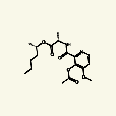 CCCC[C@H](C)OC(=O)[C@H](C)NC(=O)c1nccc(OC)c1OC(C)=O